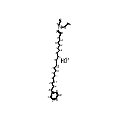 CCCN(CCC)CCCCCCCCCCCCCCCCCCCCCc1ccccc1.Cl